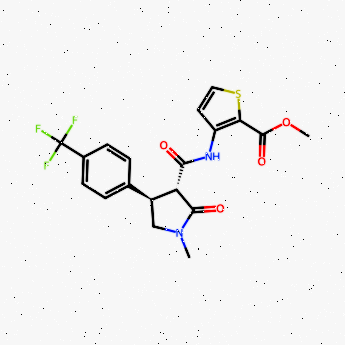 COC(=O)c1sccc1NC(=O)[C@@H]1C(=O)N(C)C[C@H]1c1ccc(C(F)(F)F)cc1